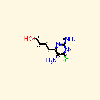 Nc1nc(Cl)c(N)c(CCCCO)n1